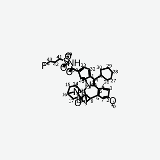 COc1ccc2c(c1)C1CC1(C(=O)N1C3CC1CN(C)C3)Cn1c-2c(C2CCCCC2)c2ccc(C(=O)NS(=O)(=O)CCCF)cc21